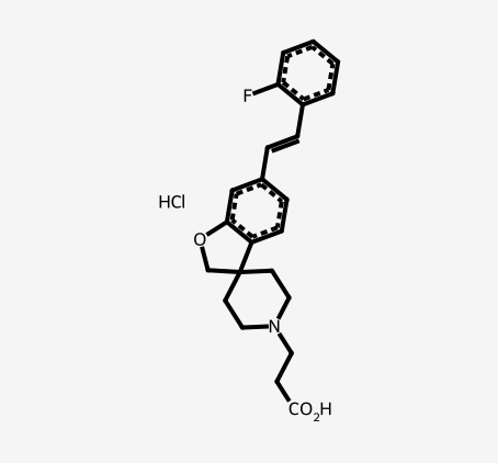 Cl.O=C(O)CCN1CCC2(CC1)COc1cc(C=Cc3ccccc3F)ccc12